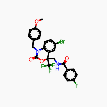 COc1ccc(CN2C(=O)OC(CNC(=O)c3ccc(F)cc3)(C(F)(F)F)c3cc(Br)ccc32)cc1